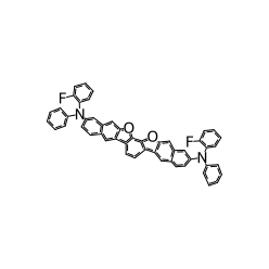 Fc1ccccc1N(c1ccccc1)c1ccc2cc3c(cc2c1)oc1c3ccc2c3cc4ccc(N(c5ccccc5)c5ccccc5F)cc4cc3oc21